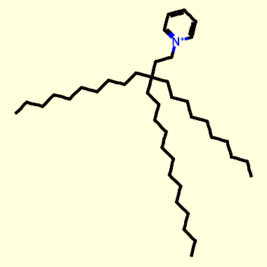 CCCCCCCCCCCCCC(CCCCCCCCCC)(CCCCCCCCCC)CC[n+]1ccccc1